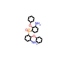 Nc1cccc([PH](=O)c2cccc(N)c2Oc2ccccc2)c1Oc1ccccc1